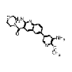 COc1ncc(-c2ccc3nc(N)c(C(=O)N4CCOCC4)cc3c2)cc1N